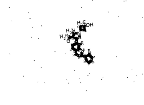 C[C@]1(O)C[C@@H](n2nc(-c3ccc4ccc(-c5ccccc5F)nc4c3F)c(C(N)=O)c2N)C1